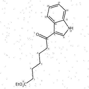 CCOC(=O)CCCCCC(=O)c1c[nH]c2ccccc12